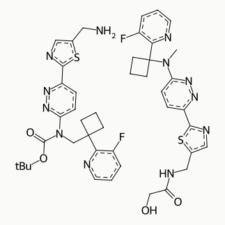 CC(C)(C)OC(=O)N(CC1(c2ncccc2F)CCC1)c1ccc(-c2ncc(CN)s2)nn1.CN(c1ccc(-c2ncc(CNC(=O)CO)s2)nn1)C1(c2ncccc2F)CCC1